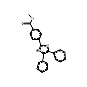 COC(=O)c1ccc(-c2nc(-c3ccccc3)c(-c3ccccc3)[nH]2)cc1